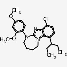 CCC(CC)c1ccc(Cl)c2nc3n(c12)CCCCN3c1ccc(OC)cc1OC